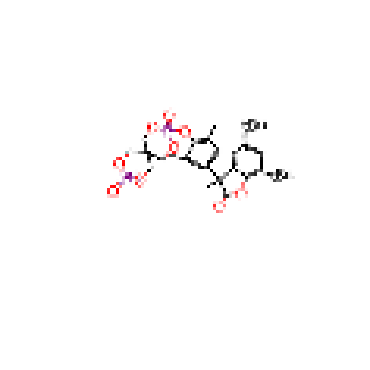 Cc1cc(C2(C)C(=O)Oc3c(C(C)(C)C)cc(C(C)(C)C)cc32)cc(C)c1OP1(=O)OCC2(CO[PH](=O)OC2)CO1